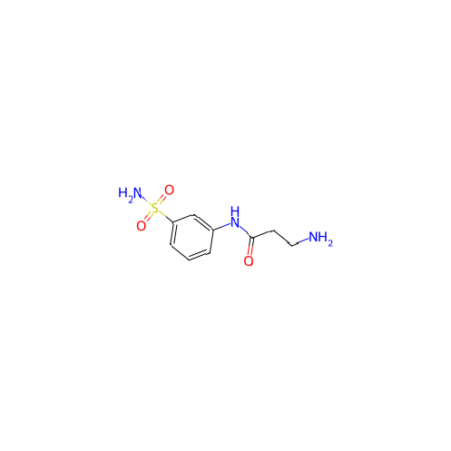 NCCC(=O)Nc1cccc(S(N)(=O)=O)c1